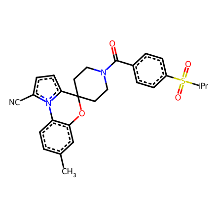 Cc1ccc2c(c1)OC1(CCN(C(=O)c3ccc(S(=O)(=O)C(C)C)cc3)CC1)c1ccc(C#N)n1-2